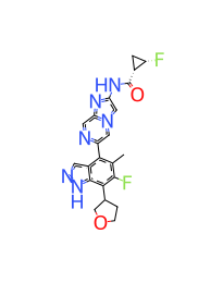 Cc1c(F)c(C2CCOC2)c2[nH]ncc2c1-c1cn2cc(NC(=O)[C@@H]3C[C@@H]3F)nc2cn1